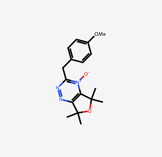 COc1ccc(Cc2nnc3c([n+]2[O-])C(C)(C)OC3(C)C)cc1